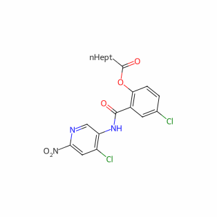 CCCCCCCC(=O)Oc1ccc(Cl)cc1C(=O)Nc1cnc([N+](=O)[O-])cc1Cl